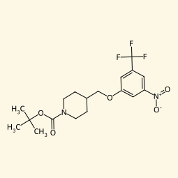 CC(C)(C)OC(=O)N1CCC(COc2cc([N+](=O)[O-])cc(C(F)(F)F)c2)CC1